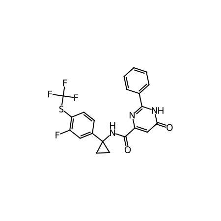 O=C(NC1(c2ccc(SC(F)(F)F)c(F)c2)CC1)c1cc(=O)[nH]c(-c2ccccc2)n1